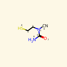 N#CN(CCS)C(N)=O